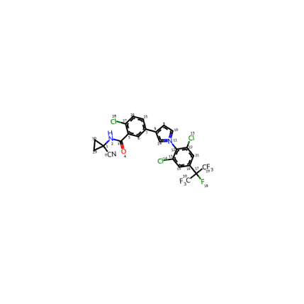 N#CC1(NC(=O)c2cc(-c3ccn(-c4c(Cl)cc(C(F)(C(F)(F)F)C(F)(F)F)cc4Cl)c3)ccc2Cl)CC1